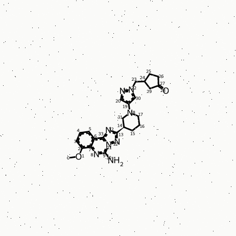 COc1cccc2c1nc(N)n1nc([C@@H]3CCCN(c4cnn(CC5CCC(=O)C5)c4)C3)nc21